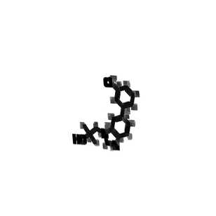 CC(C)(O)Cn1cnc2ccc(-c3cccc(Cl)c3)cc21